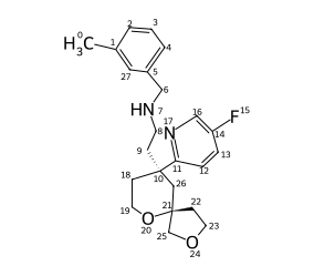 Cc1cccc(CNCC[C@@]2(c3ccc(F)cn3)CCO[C@]3(CCOC3)C2)c1